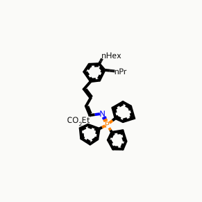 CCCCCCc1ccc(C=CC=C(N=P(c2ccccc2)(c2ccccc2)c2ccccc2)C(=O)OCC)cc1CCC